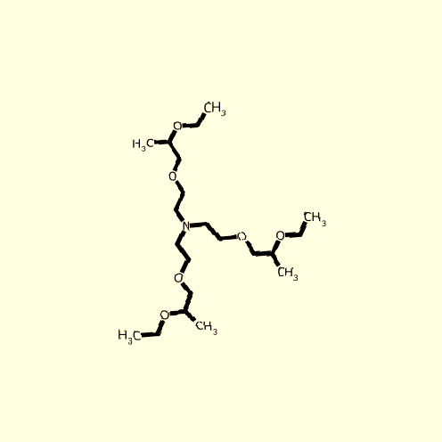 CCOC(C)COCCN(CCOCC(C)OCC)CCOCC(C)OCC